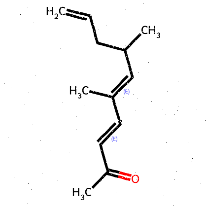 C=CCC(C)/C=C(C)/C=C/C(C)=O